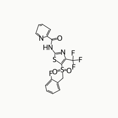 O=C(Nc1nc(C(F)(F)F)c(S(=O)(=O)Cc2ccccc2F)s1)c1ccccn1